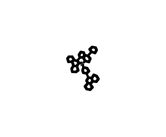 c1ccc(-c2ccc(N(c3ccc(-c4cc5ccccc5c5ccccc45)cc3)c3c(-c4ccccc4)c4ccccc4c4ccccc34)cc2)cc1